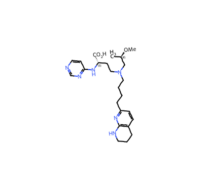 CO[C@H](C)CN(CCCCc1ccc2c(n1)NCCC2)CC[C@H](Nc1ccncn1)C(=O)O